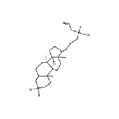 C=CCC(C)(O)CCCC1CC[C@H]2[C@@H]3CCC4C[C@@](C)(O)CCC4(C)C3CCC12C